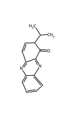 CC(C)C1C=Cc2nc3ccccc3nc2C1=O